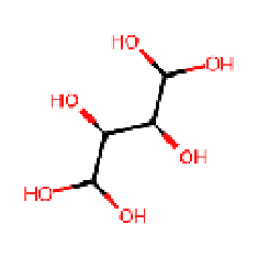 OC(O)[C@@H](O)[C@H](O)C(O)O